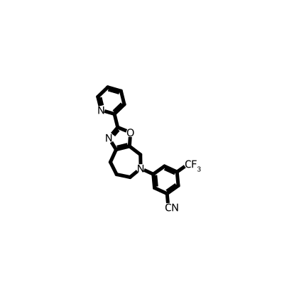 N#Cc1cc(N2CCCc3nc(-c4ccccn4)oc3C2)cc(C(F)(F)F)c1